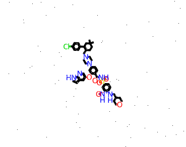 C[NH+]([O-])c1cc(S(=O)(=O)NC(=O)c2ccc(N3CCN(CC4=C(c5ccc(Cl)cc5)CC(C)(C)CC4)CC3)cc2Oc2cnc3[nH]ccc3c2)ccc1NCC1CCOCC1